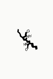 CCCCc1cc(-c2cc(CCCC)c(C=O)[nH]2)[nH]c1C=O